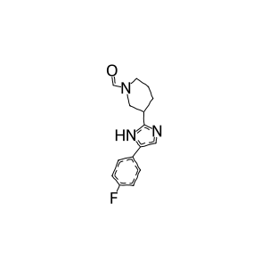 O=CN1CCCC(c2ncc(-c3ccc(F)cc3)[nH]2)C1